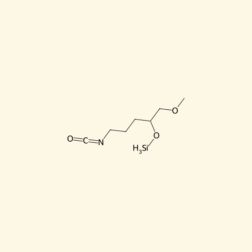 COCC(CCCN=C=O)O[SiH3]